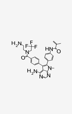 C=C(C)C(=O)Nc1ccc(-c2c(-c3ccc(C(=O)N(CCN)CC(F)(F)F)cc3)c3c(N)ncnc3n2C)cc1